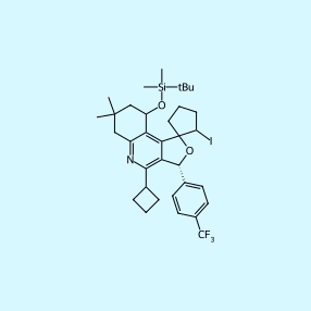 CC1(C)Cc2nc(C3CCC3)c3c(c2C(O[Si](C)(C)C(C)(C)C)C1)C1(CCCC1I)O[C@@H]3c1ccc(C(F)(F)F)cc1